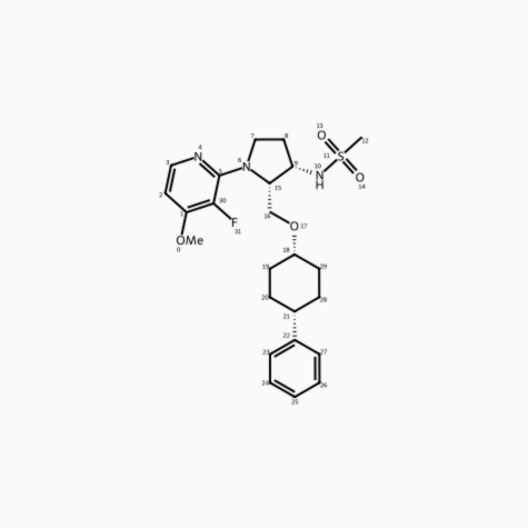 COc1ccnc(N2CC[C@H](NS(C)(=O)=O)[C@@H]2CO[C@H]2CC[C@@H](c3ccccc3)CC2)c1F